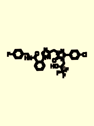 O=C(NCc1ccc(F)cc1)c1ccccc1-n1cnc(Cn2nc(-c3ccc(Cl)cc3)n(C[C@H](O)C(F)(F)F)c2=O)n1